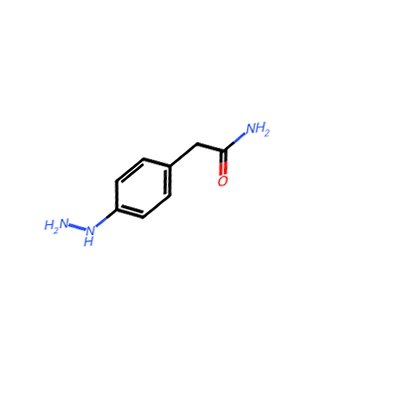 NNc1ccc(CC(N)=O)cc1